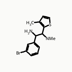 CNC(c1sccc1C)C(N)c1cccc(Br)c1